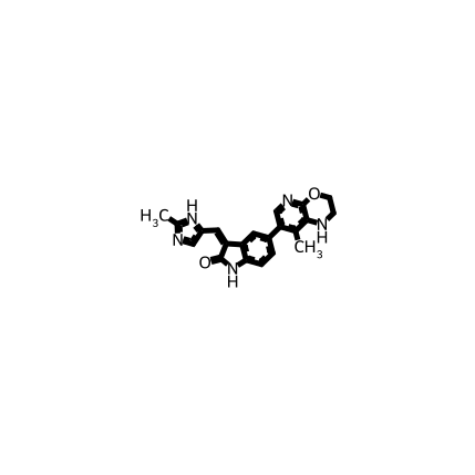 Cc1ncc(C=C2C(=O)Nc3ccc(-c4cnc5c(c4C)NCCO5)cc32)[nH]1